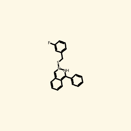 Fc1cccc(CSN2C=c3ccccc3=C(c3ccccc3)N2)c1